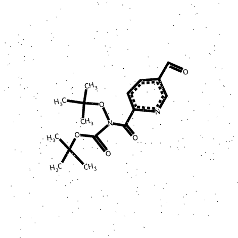 CC(C)(C)OC(=O)N(OC(C)(C)C)C(=O)c1ccc(C=O)cn1